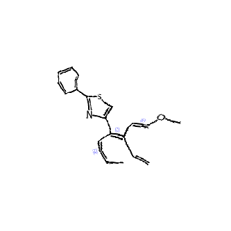 C=CC(/C=C/OC)=C(\C=C/C)c1csc(-c2ccccc2)n1